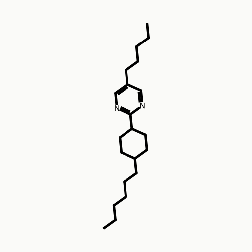 CCCCCCC1CCC(c2ncc(CCCCC)cn2)CC1